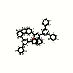 c1ccc(-c2nc(-c3ccccc3)nc(-c3cc(-c4ccc5oc6cccc(-c7nc(-c8ccccc8)nc(-c8ccccc8)n7)c6c5c4)cc4ccccc34)n2)cc1